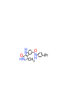 CC(C)c1ccc(NC(=O)c2ccc3[nH]c4c(c3c2)C(C)CNC4=O)cc1